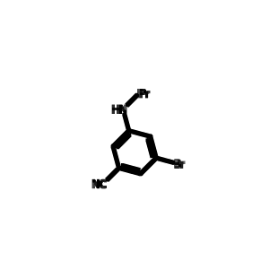 CC(C)Nc1cc(Br)cc(C#N)c1